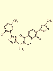 Cc1cn(-c2ccc3n(c2=O)CCN([C@H](C)c2csc(-c4cc(C(F)(F)F)ccc4Cl)n2)C3=O)cn1